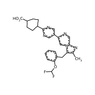 Cc1nc2cnc(-c3cnc(C4CCC(C(=O)O)CC4)nc3)cn2c1Cc1ccccc1OC(F)F